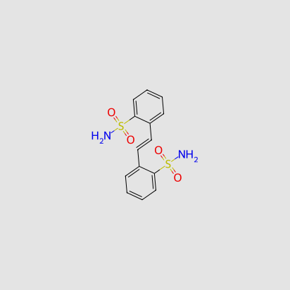 NS(=O)(=O)c1ccccc1C=Cc1ccccc1S(N)(=O)=O